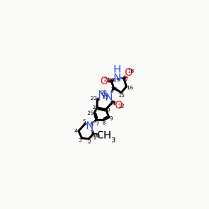 C[C@H]1CCCCN1c1ccc2c(=O)n(C3CCC(=O)NC3=O)ncc2c1